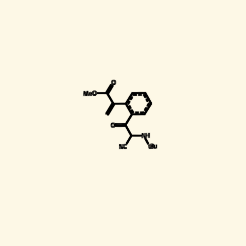 C=C(C(=O)OC)c1ccccc1C(=O)C(C#N)NC(C)(C)C